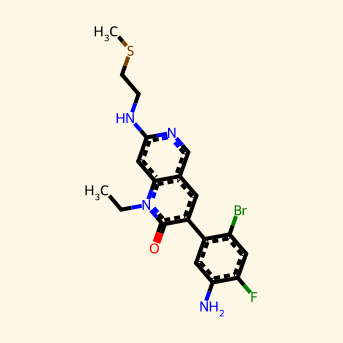 CCn1c(=O)c(-c2cc(N)c(F)cc2Br)cc2cnc(NCCSC)cc21